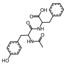 CC(=O)NC(Cc1ccc(O)cc1)C(=O)NC(Cc1ccccc1)C(=O)O